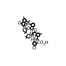 Cc1cc(C(C)Nc2ccc(Cl)cc2C(=O)O)c2oc(N3CCC(C)(C)CC3)cc(=O)c2c1.Cc1cc(C(C)Nc2cccc3c2C(=O)NC3)c2oc(N3CCC(C)(C)CC3)cc(=O)c2c1